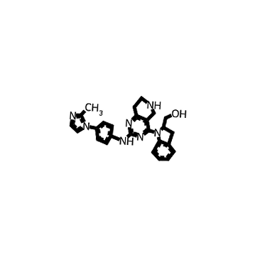 Cc1nccn1-c1ccc(Nc2nc3c(c(N4c5ccccc5CC4CO)n2)CNCC3)cc1